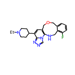 CCN1CCC(c2cc3c(n4cnnc24)NCc2c(F)cccc2COC3)CC1